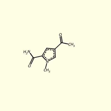 CC(=O)c1cc(C(N)=O)n(C)c1